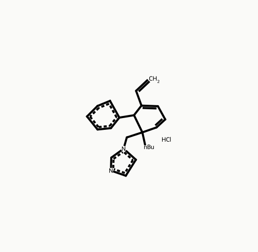 C=CC1=CC=CC(CCCC)(Cn2ccnc2)C1c1ccccc1.Cl